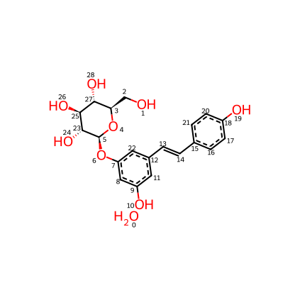 O.OC[C@H]1O[C@@H](Oc2cc(O)cc(/C=C/c3ccc(O)cc3)c2)[C@H](O)[C@@H](O)[C@@H]1O